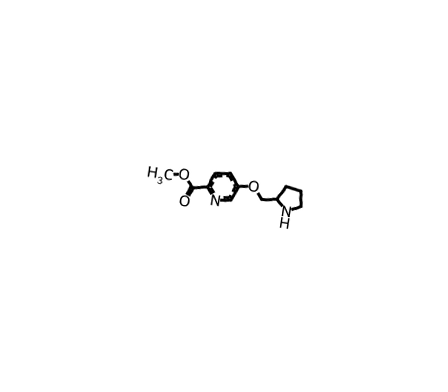 COC(=O)c1ccc(OCC2CCCN2)cn1